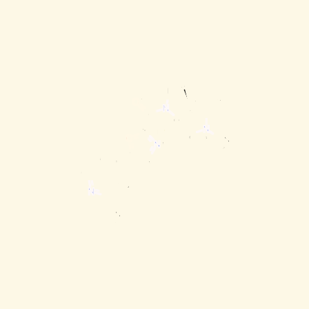 CCN(C(=O)c1ncc(-c2ccnc(C#N)c2)o1)C1(S)CN(C#N)C(C)[C@@H]1C